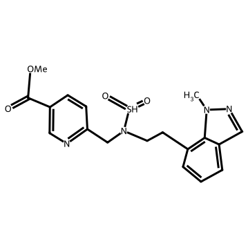 COC(=O)c1ccc(CN(CCc2cccc3cnn(C)c23)[SH](=O)=O)nc1